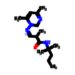 CCCC(C)(C)NC(=O)C(C)/C=N\N1CN=C(C)C=C1C